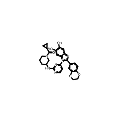 O=C(C1CC1)N1CCCC(Nc2nccc(-n3c(-c4ccc5c(c4)OCCO5)nc4cc(O)c(O)cc43)n2)C1